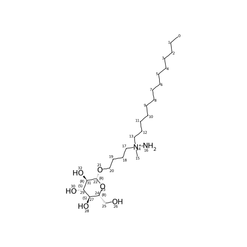 CCCCCCCCCCCCCC[N+](C)(N)CCCCO[C@@H]1O[C@H](CO)[C@@H](O)[C@H](O)[C@H]1O